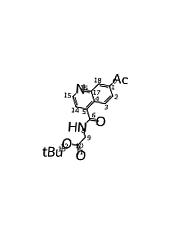 CC(=O)c1ccc2c(C(=O)NCC(=O)OC(C)(C)C)ccnc2c1